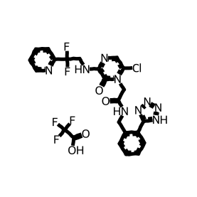 O=C(Cn1c(Cl)cnc(NCC(F)(F)c2ccccn2)c1=O)NCc1ccccc1-c1nnn[nH]1.O=C(O)C(F)(F)F